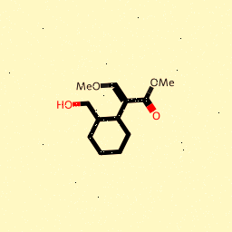 CO/C=C(/C(=O)OC)C1CCCCC1CO